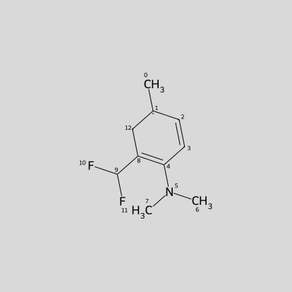 C[C]1C=CC(N(C)C)=C(C(F)F)C1